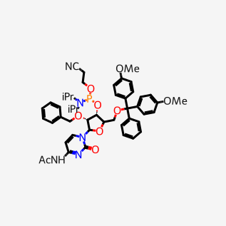 COc1ccc(C(OCC2OC(n3ccc(NC(C)=O)nc3=O)[C@H](OCc3ccccc3)[C@@H]2OP(OCCC#N)N(C(C)C)C(C)C)(c2ccccc2)c2ccc(OC)cc2)cc1